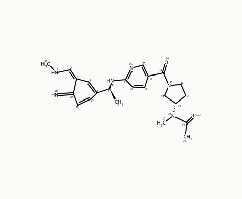 CN/C=C1/C=C([C@H](C)Nc2ccc(C(=O)N3CC[C@H](N(C)C(C)=O)C3)cn2)C=CC1=N